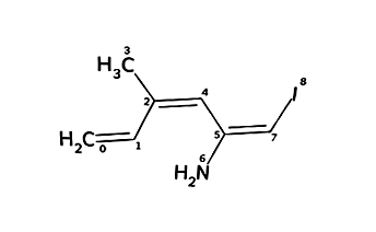 C=C/C(C)=C\C(N)=C/I